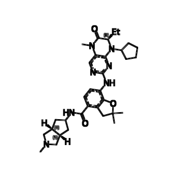 CC[C@@H]1C(=O)N(C)c2cnc(Nc3ccc(C(=O)NC4C[C@@H]5CN(C)C[C@@H]5C4)c4c3OC(C)(C)C4)nc2N1C1CCCC1